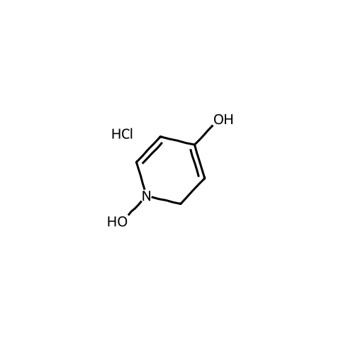 Cl.OC1=CCN(O)C=C1